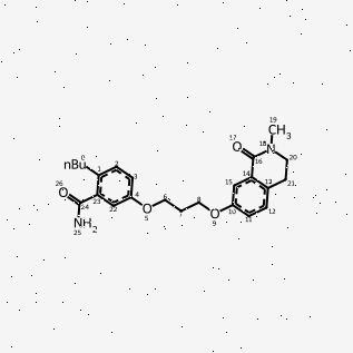 CCCCc1ccc(OCCCOc2ccc3c(c2)C(=O)N(C)CC3)cc1C(N)=O